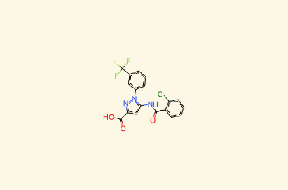 O=C(O)c1cc(NC(=O)c2ccccc2Cl)n(-c2cccc(C(F)(F)F)c2)n1